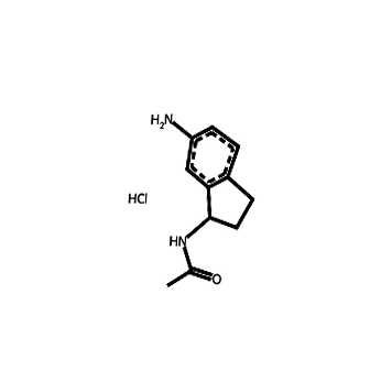 CC(=O)NC1CCc2ccc(N)cc21.Cl